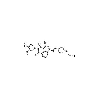 COc1ccc(N2C(=O)c3cccc4c(/N=C/c5cc[n+](CCO)cc5)ccc(c34)C2=O)cc1OC.[Br-]